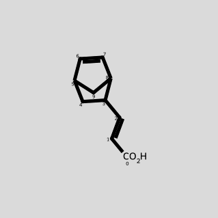 O=C(O)C=CC1CC2C=CC1C2